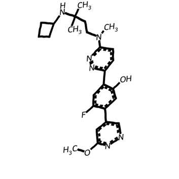 COc1cc(-c2cc(O)c(-c3ccc(N(C)CCC(C)(C)NC4CCC4)nn3)cc2F)cnn1